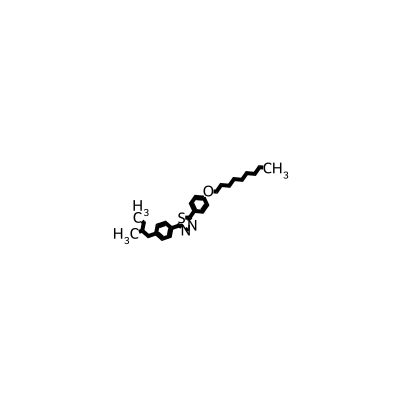 CCCCCCCCCOc1ccc(-c2nnc(-c3ccc(CC(C)CC)cc3)s2)cc1